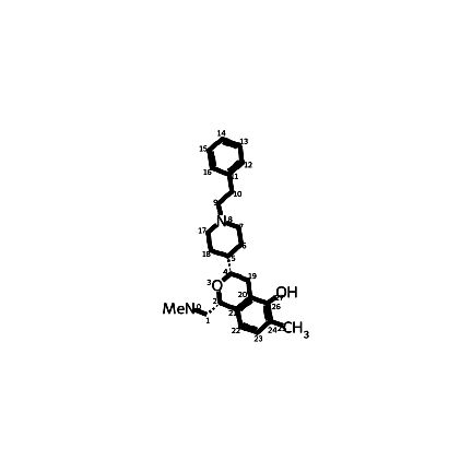 CNC[C@@H]1O[C@H](C2CCN(CCc3ccccc3)CC2)Cc2c1ccc(C)c2O